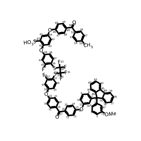 COc1cccc(C2(c3cccc(Oc4ccc(C(=O)c5ccc(Oc6ccc(SC(F)(F)C(F)(F)Sc7ccc(Oc8ccc(Oc9ccc(C(=O)c%10ccc(C)cc%10)cc9)cc8S(=O)(=O)O)cc7F)c(F)c6)cc5)cc4)c3)c3ccccc3-c3ccccc32)c1